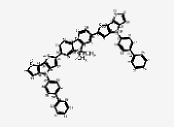 C[Si]1(C)c2cc(-c3cc4c(s3)c3sccc3n4-c3ccc(-c4ccccc4)cc3)ccc2-c2ccc(-c3cc4c(s3)c3sccc3n4-c3ccc(-c4ccccc4)cc3)cc21